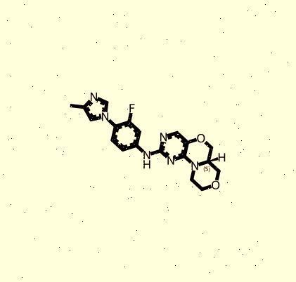 Cc1cn(-c2ccc(Nc3ncc4c(n3)N3CCOC[C@H]3CO4)cc2F)cn1